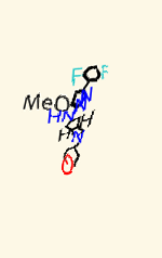 COc1cc(-c2cc(F)ccc2F)nnc1N[C@H]1C[C@@H]2CN(CC3CCOCC3)C[C@@H]2C1